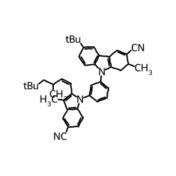 Cc1c(/C=C\C(C)CC(C)(C)C)n(-c2cccc(-n3c4c(c5cc(C(C)(C)C)ccc53)C=C(C#N)C(C)C4)c2)c2ccc(C#N)cc12